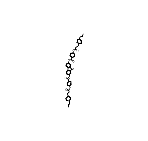 CCCc1ccc(CCC(=O)Oc2ccc(C(=O)Oc3ccc4c(c3)C(C)c3cc(OC(=O)c5ccc(OC(=O)CCc6ccc(CCC)cc6)cc5)ccc3-4)cc2)cc1